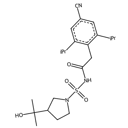 CC(C)c1cc(C#N)cc(C(C)C)c1CC(=O)NS(=O)(=O)N1CCC(C(C)(C)O)C1